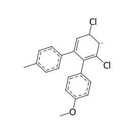 COc1ccc(C2=C(Cl)[CH]C(Cl)C=C2c2ccc(C)cc2)cc1